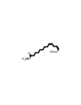 BOC(=O)CCCCCCC/C=C\C/C=C\CCCCC